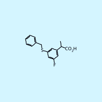 CC(C(=O)O)c1cc(F)cc(SCc2ccccc2)c1